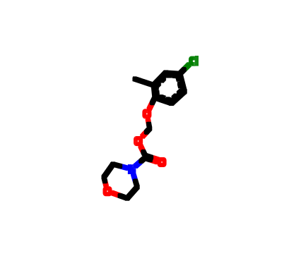 Cc1cc(Cl)ccc1OCOC(=O)N1CCOCC1